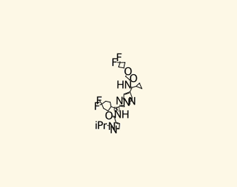 CC(C)n1nccc1C(=O)N[C@H](c1cn2ncc(C(NC(=O)COC3CC(F)(F)C3)C3CC3)cc2n1)C1CCC(F)(F)CC1